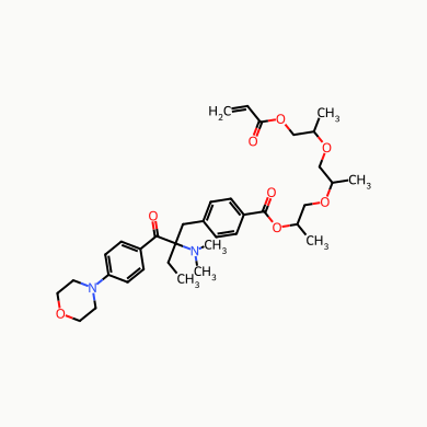 C=CC(=O)OCC(C)OCC(C)OCC(C)OC(=O)c1ccc(CC(CC)(C(=O)c2ccc(N3CCOCC3)cc2)N(C)C)cc1